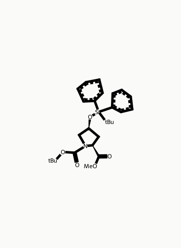 COC(=O)[C@@H]1C[C@H](O[Si](c2ccccc2)(c2ccccc2)C(C)(C)C)CN1C(=O)OC(C)(C)C